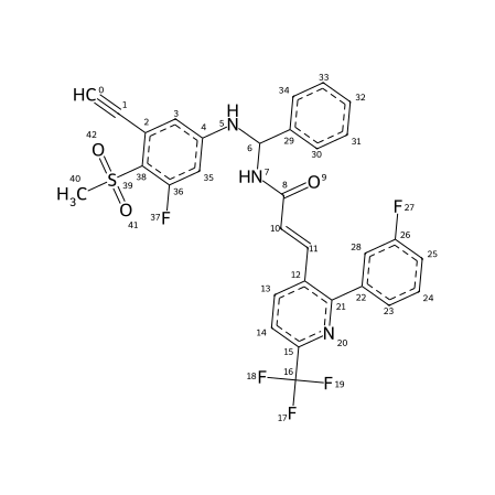 C#Cc1cc(NC(NC(=O)C=Cc2ccc(C(F)(F)F)nc2-c2cccc(F)c2)c2ccccc2)cc(F)c1S(C)(=O)=O